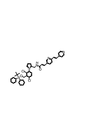 CC(C)(C)[Si](OCc1c(Cl)ccc(-n2cccc2CNC(=O)C=Cc2ccc(C=Cc3ccncc3)nc2)c1Cl)(c1ccccc1)c1ccccc1